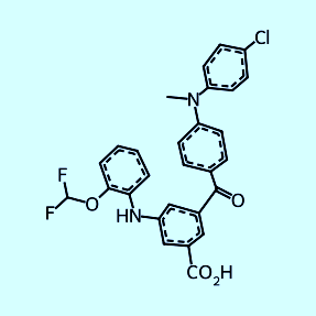 CN(c1ccc(Cl)cc1)c1ccc(C(=O)c2cc(Nc3ccccc3OC(F)F)cc(C(=O)O)c2)cc1